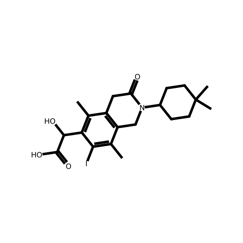 Cc1c(I)c(C(O)C(=O)O)c(C)c2c1CN(C1CCC(C)(C)CC1)C(=O)C2